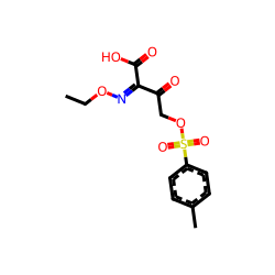 CCON=C(C(=O)O)C(=O)COS(=O)(=O)c1ccc(C)cc1